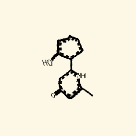 Cc1cc(=O)cc(-c2ccccc2O)[nH]1